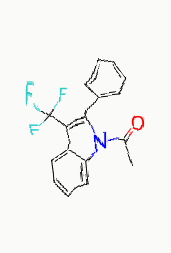 CC(=O)n1c(-c2ccccc2)c(C(F)(F)F)c2ccccc21